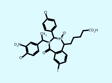 CC(c1ccc(Cl)c([N+](=O)[O-])c1)N1C(=O)c2cc(I)ccc2C(CCCCC(=O)O)[NH+]([O-])C1c1ccc(Cl)cc1